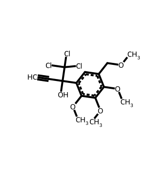 C#CC(O)(c1cc(COC)c(OC)c(OC)c1OC)C(Cl)(Cl)Cl